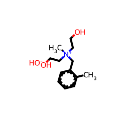 Cc1ccccc1C[N+](C)(CCO)CCO.[OH-]